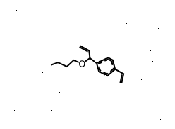 C=Cc1ccc(C(C=C)OCCCC)cc1